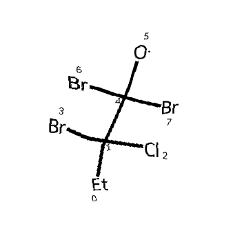 CCC(Cl)(Br)C([O])(Br)Br